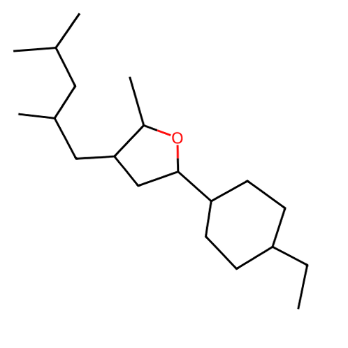 CCC1CCC(C2CC(CC(C)CC(C)C)C(C)O2)CC1